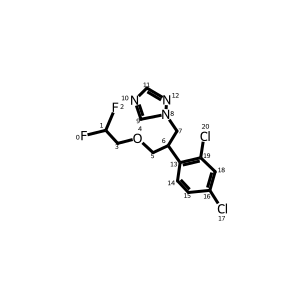 FC(F)COCC(Cn1cncn1)c1ccc(Cl)cc1Cl